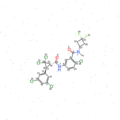 CN(C(=O)c1cc(NC(=O)[C@@H]2[C@@H](c3cc(Cl)cc(Cl)c3)C2(Cl)Cl)ccc1Cl)C1CC(F)(F)C1